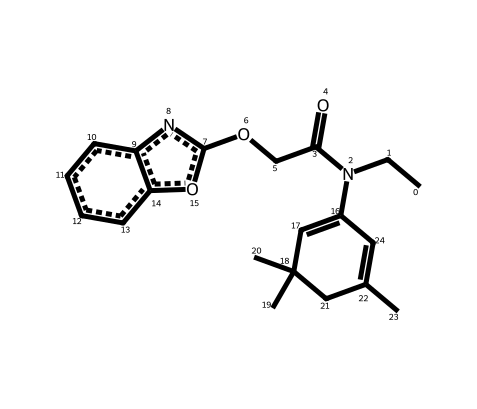 CCN(C(=O)COc1nc2ccccc2o1)C1=CC(C)(C)CC(C)=C1